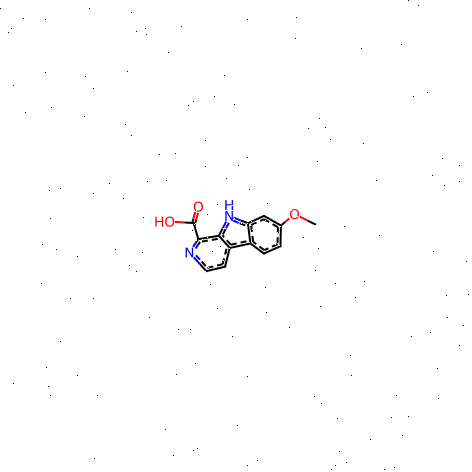 COc1ccc2c(c1)[nH]c1c(C(=O)O)nccc12